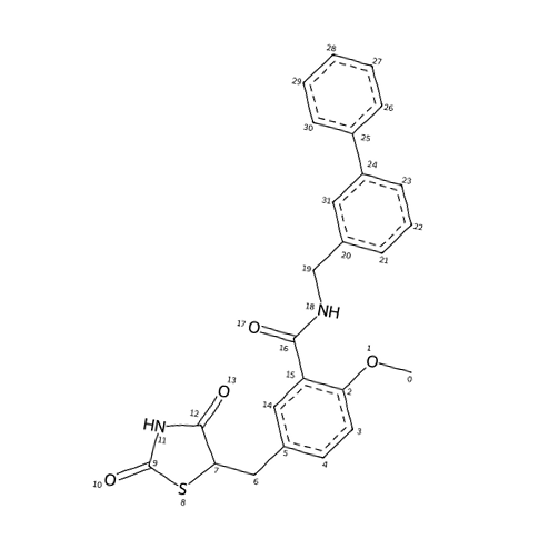 COc1ccc(CC2SC(=O)NC2=O)cc1C(=O)NCc1cccc(-c2ccccc2)c1